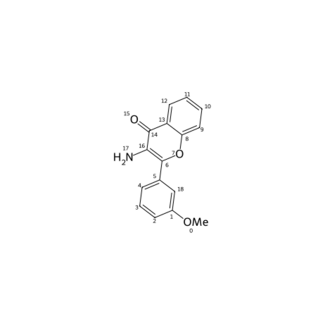 COc1cccc(-c2oc3ccccc3c(=O)c2N)c1